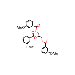 COc1cccc(C(=O)OCC(COC(=O)c2cccc(OC)c2)OC(=O)c2cccc(OC)c2)c1